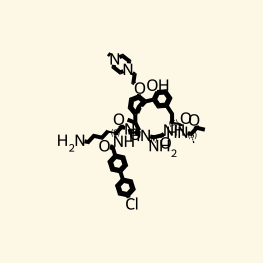 CC(=O)[C@H](C)NC(=O)[C@@H]1Cc2ccc(O)c(c2)-c2cc(ccc2OCCN2CCN(C)CC2)C(C)(N(C)C(=O)[C@H](CCCCN)NC(=O)c2ccc(-c3ccc(Cl)cc3)cc2)C(=O)N[C@@H](N)C(=O)N1